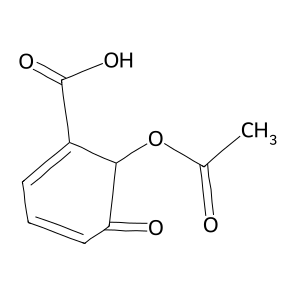 CC(=O)OC1C(=O)C=CC=C1C(=O)O